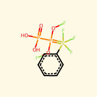 O=P(O)(O)P(OF)(OF)=S(F)(F)(F)c1ccccc1